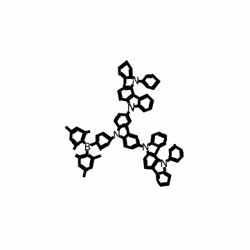 Cc1cc(C)c(B(c2ccc(-n3c4ccc(-n5c6ccccc6c6c5ccc5c7ccccc7n(-c7ccccc7)c56)cc4c4cc(-n5c6ccccc6c6c5ccc5c7ccccc7n(-c7ccccc7)c56)ccc43)cc2)c2c(C)cc(C)cc2C)c(C)c1